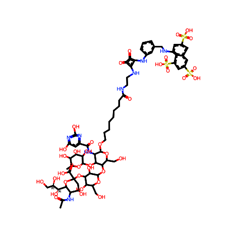 CC(=O)NC1C(O)CC(OC2C(O)C(CO)OC(OC3C(CO)OC(OCCCCCCCCC(=O)NCCNc4c(Nc5cccc(CNc6cc(S(=O)(=O)O)cc7cc(S(=O)(=O)O)cc(S(=O)(=O)O)c67)c5)c(=O)c4=O)C(NC(=O)c4cc(O)nc(O)n4)C3OC3OC(C)C(O)C(O)C3O)C2O)(C(=O)O)OC1[C@H](O)[C@H](O)CO